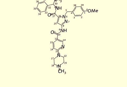 COc1ccc(Cn2nc(NC(=O)c3ccc(N4CCN(C)CC4)nc3)cc2C(=O)NC(C)c2ccccc2)cc1